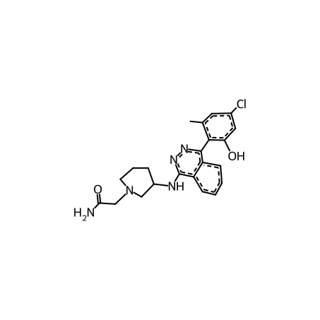 Cc1cc(Cl)cc(O)c1-c1nnc(NC2CCCN(CC(N)=O)C2)c2ccccc12